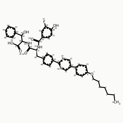 CCCCCCCOc1ccc(-c2cnc(-c3ccc(C[C@H](NC(=O)c4ccc(O)c(F)c4)C(=O)NC(C(=O)O)C(O)c4ccccc4)cc3)nc2)cc1